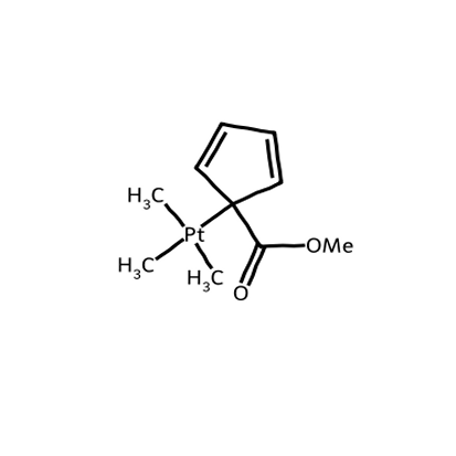 COC(=O)[C]1([Pt]([CH3])([CH3])[CH3])C=CC=C1